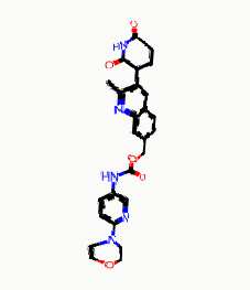 Cc1nc2cc(COC(=O)Nc3ccc(N4CCOCC4)nc3)ccc2cc1C1CCC(=O)NC1=O